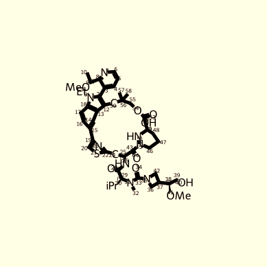 CCn1c(-c2cccnc2[C@H](C)OC)c2c3cc(ccc31)-c1csc(n1)C[C@H](NC(=O)[C@H](C(C)C)N(C)C(=O)N1CC([C@@H](CO)OC)C1)C(=O)N1CCC[C@@](O)(N1)C(=O)OCC(C)(C)C2